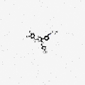 CCOC(=O)/C=C/c1cccc(-c2cnc(Nc3ccc(F)c(Cl)c3)nc2NCc2cnn(C)c2)c1